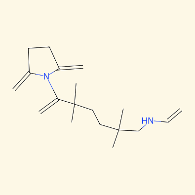 C=CNCC(C)(C)CCC(C)(C)C(=C)N1C(=C)CCC1=C